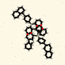 c1ccc(N(c2ccc(-c3ccc4ccccc4c3)cc2)c2cccc3c2sc2ccccc23)c(-c2ccccc2N(c2ccc(-c3cccc4ccccc34)cc2)c2cccc3c2sc2ccccc23)c1